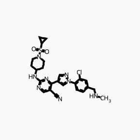 CNCc1ccc(-n2cc(-c3nc(NC4CCN(S(=O)(=O)C5CC5)CC4)ncc3C#N)cn2)c(Cl)c1